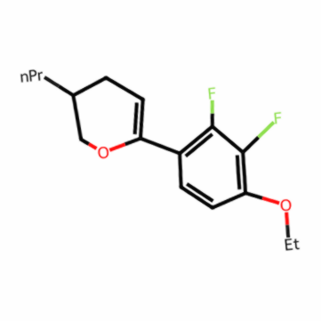 CCCC1CC=C(c2ccc(OCC)c(F)c2F)OC1